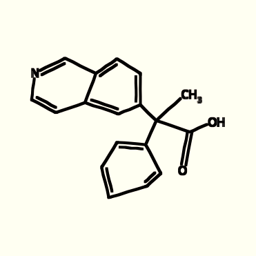 CC(C(=O)O)(c1ccccc1)c1ccc2cnccc2c1